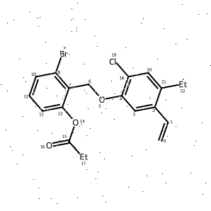 C=Cc1cc(OCc2c(Br)cccc2OC(=O)CC)c(Cl)cc1CC